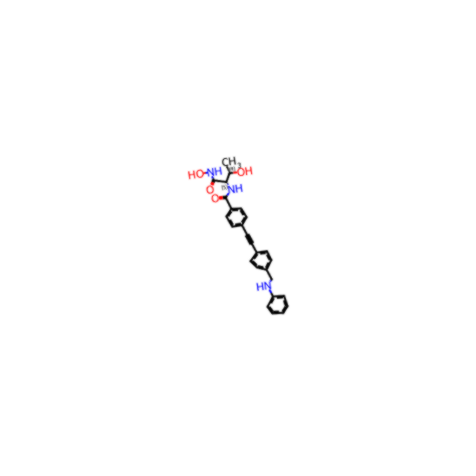 C[C@@H](O)[C@H](NC(=O)c1ccc(C#Cc2ccc(CNc3ccccc3)cc2)cc1)C(=O)NO